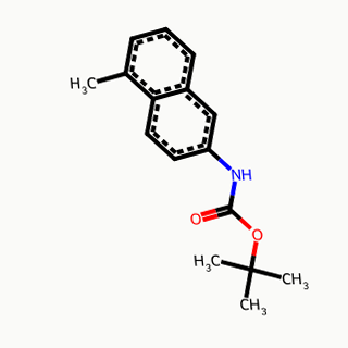 Cc1cccc2cc(NC(=O)OC(C)(C)C)ccc12